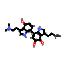 CNCCc1c[nH]c2c1C(=O)C(=O)C=C2C1=C2N=CC(CCN(C)C)=C2C(=O)C=C1